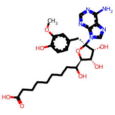 COc1cc(C[C@@]2(n3cnc4c(N)ncnc43)O[C@H](C(O)CCCCCCCC(=O)O)[C@@H](O)[C@H]2O)ccc1O